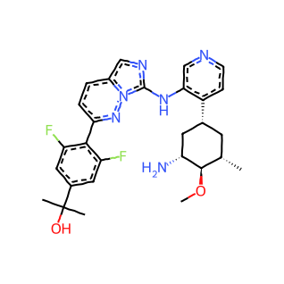 CO[C@H]1[C@H](N)C[C@H](c2ccncc2Nc2ncc3ccc(-c4c(F)cc(C(C)(C)O)cc4F)nn23)C[C@@H]1C